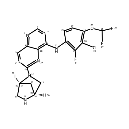 Fc1c(Nc2ncnc3cnc(N4C[C@@H]5C[C@H]4CN5)nc23)ccc(OC(F)F)c1Cl